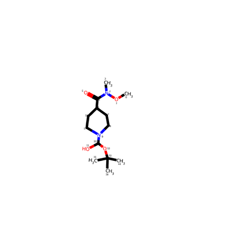 CON(C)C(=O)C1CCN(C(O)OC(C)(C)C)CC1